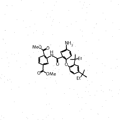 CCC(C)(C)c1ccc(Oc2ccc(N)cc2C(=O)Nc2cc(C(=O)OC)ccc2C(=O)OC)c(C(C)(C)CC)c1